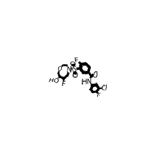 O=C(Nc1ccc(F)c(Cl)c1)c1ccc(F)c(S(=O)(=O)N2CCOC[C@H](O)C(F)C2)c1